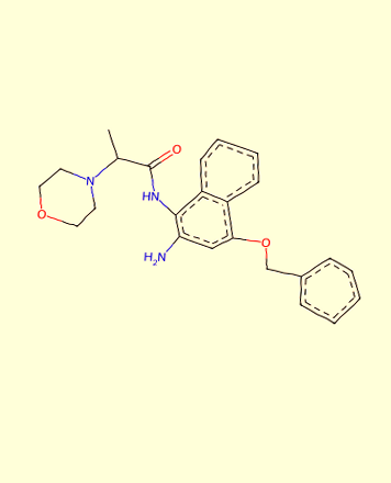 CC(C(=O)Nc1c(N)cc(OCc2ccccc2)c2ccccc12)N1CCOCC1